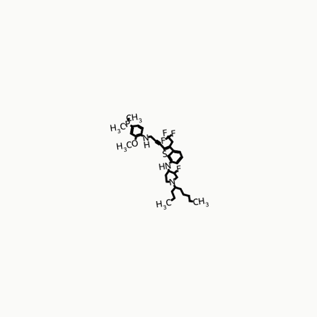 CCCCCC(CCC)N1CCC(Nc2cccc3c(CC(F)(F)F)c(C#CCNc4ccc(P(C)C)cc4OC)sc23)C(F)C1